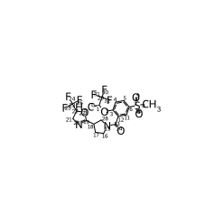 C[C@H](Oc1ccc(S(C)(=O)=O)cc1C(=O)N1CCC(C2=NCC(C(F)(F)F)O2)C1)C(F)(F)F